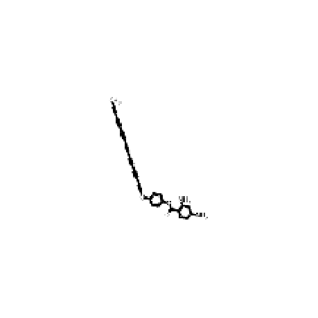 CC#CC#CC#CC#CC#CC#CC#COc1ccc(OC(=O)c2ccc(N)cc2N)cc1